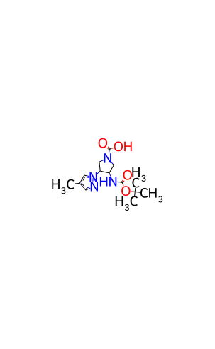 Cc1cnn(C2CN(C(=O)O)CC2NC(=O)OC(C)(C)C)c1